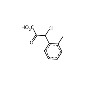 Cc1ccccc1C(Cl)C(=O)C(=O)O